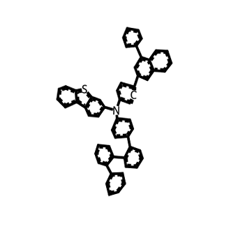 c1ccc(-c2ccccc2-c2ccccc2-c2ccc(N(c3ccc(-c4cc(-c5ccccc5)c5ccccc5c4)cc3)c3ccc4c(c3)sc3ccccc34)cc2)cc1